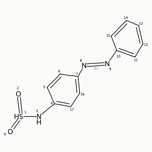 O=[SH](=O)Nc1ccc(/N=N/c2ccccc2)cc1